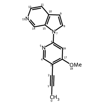 CC#Cc1cnc(-n2ccc3ccncc32)cc1OC